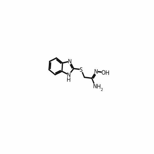 NC(CSc1nc2ccccc2[nH]1)=NO